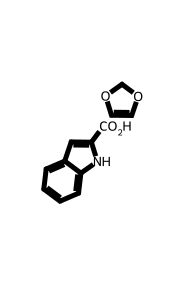 C1=COCO1.O=C(O)c1cc2ccccc2[nH]1